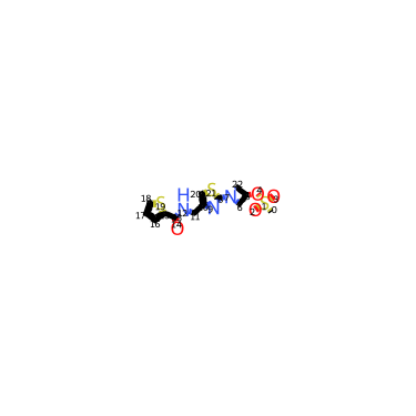 CS(=O)(=O)OC1CN(c2nc(CNC(=O)c3cccs3)cs2)C1